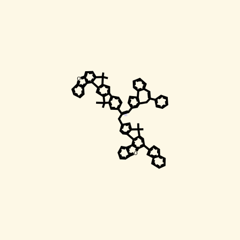 CC1(C)c2cc(/C(=C\c3ccc4c(c3)CC(c3ccccc3)=Cc3ccccc3-4)Cc3ccc4c(c3)C(C)(C)c3cc(-c5ccc6ccccc6c5)c5oc6ccccc6c5c3-4)ccc2-c2cc3c(cc21)-c1c(ccc2oc4ccccc4c12)C3(C)C